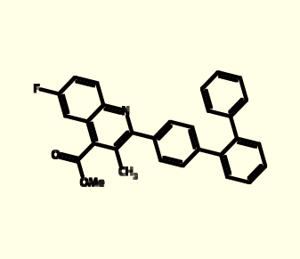 COC(=O)c1c(C)c(-c2ccc(-c3ccccc3-c3ccccc3)cc2)nc2ccc(F)cc12